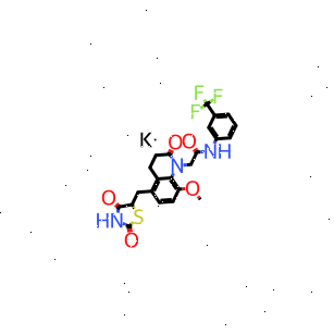 COc1ccc(CC2SC(=O)NC2=O)c2c1N(CC(=O)Nc1cccc(C(F)(F)F)c1)C(=O)CC2.[K]